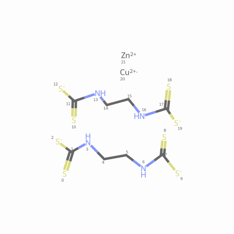 S=C([S-])NCCNC(=S)[S-].S=C([S-])NCCNC(=S)[S-].[Cu+2].[Zn+2]